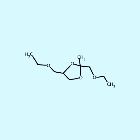 CCOCC1COC(C)(COCC)O1